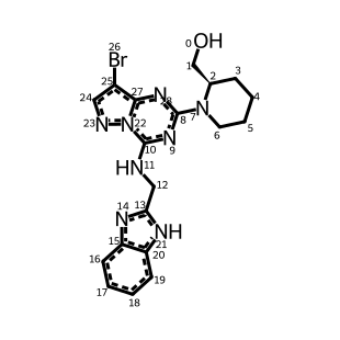 OC[C@H]1CCCCN1c1nc(NCc2nc3ccccc3[nH]2)n2ncc(Br)c2n1